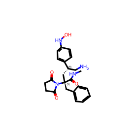 CNC(=O)[C@@](Cc1ccccc1)(C[C@@H](CN)c1ccc(NO)cc1)N1C(=O)CCC1=O